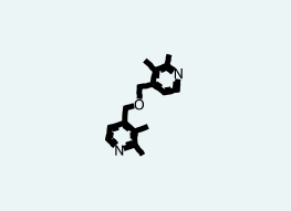 Cc1nccc(COCc2ccnc(C)c2C)c1C